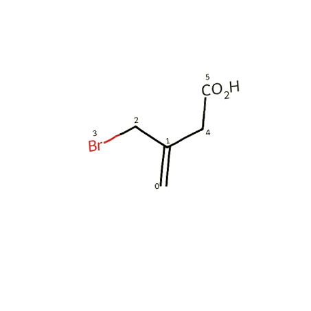 C=C(CBr)CC(=O)O